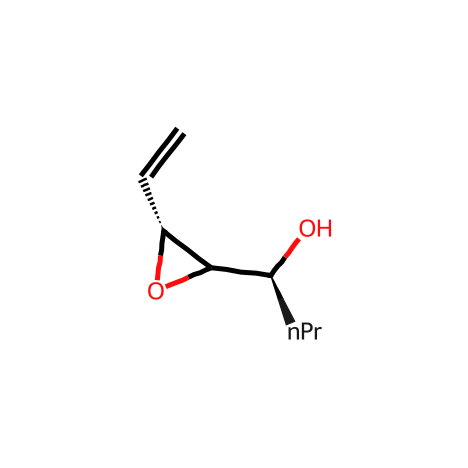 C=C[C@H]1OC1[C@@H](O)CCC